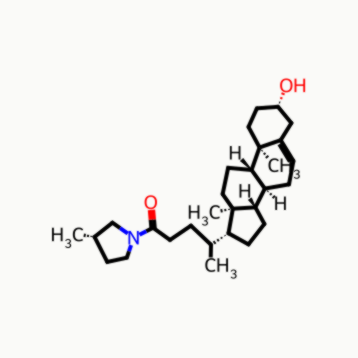 CC(CCC(=O)N1CC[C@H](C)C1)[C@H]1CC[C@H]2[C@@H]3CC=C4C[C@@H](O)CC[C@]4(C)[C@H]3CC[C@]12C